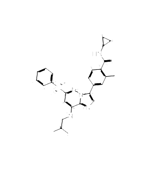 Cc1cc(-c2cnc3c(NCC(C)C)cc(S(=O)(=O)c4ccccc4)nn23)ccc1C(=O)NC1CC1